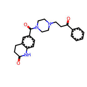 O=C1CCc2cc(C(=O)N3CCN(CCC(=O)c4ccccc4)CC3)ccc2N1